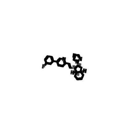 Fc1cccc(-c2ccc(C=C[C@H]3[C@H]4CC=CC[C@@H]4C[C@H]3n3cncn3)nc2)c1